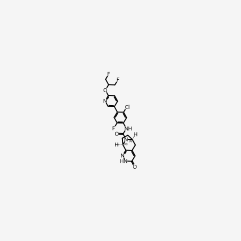 O=C(Nc1cc(Cl)c(-c2ccc(OC(CF)CF)nc2)cc1F)N1[C@H]2CC[C@@H]1c1n[nH]c(=O)cc1C2